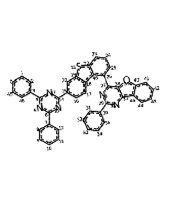 c1ccc(-c2nc(-c3ccccc3)nc(-c3ccc4c(c3)sc3cccc(-c5nc(-c6ccccc6)nc6c5oc5ccccc56)c34)n2)cc1